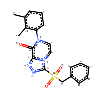 Cc1cccc(-n2ccn3c(S(=O)(=O)Cc4ccccc4)nnc3c2=O)c1C